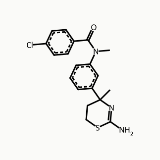 CN(C(=O)c1ccc(Cl)cc1)c1cccc(C2(C)CCSC(N)=N2)c1